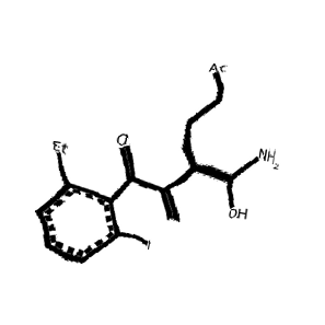 C=C(C(=O)c1c(I)cccc1CC)C(CCC(C)=O)C(N)O